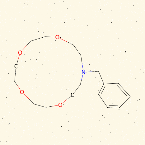 [c]1ccc(CN2CCOCCOCCOCCOCC2)cc1